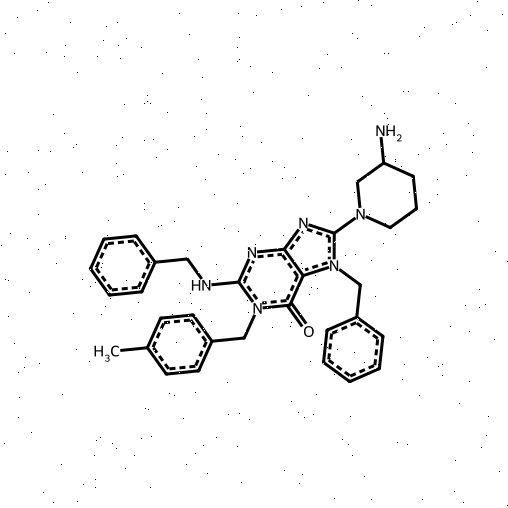 Cc1ccc(Cn2c(NCc3ccccc3)nc3nc(N4CCCC(N)C4)n(Cc4ccccc4)c3c2=O)cc1